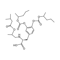 CCCC(C)OC(=O)Oc1ccc(C[C@H](NCC(C)OC(=O)CC(C)C)C(=O)O)cc1OC(=O)OC(C)CCC